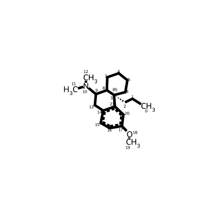 CCC[C@@]12CCCCC1C(N(C)C)Cc1ccc(OC)cc12